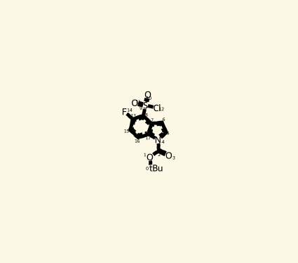 CC(C)(C)OC(=O)n1ccc2c(S(=O)(=O)Cl)c(F)ccc21